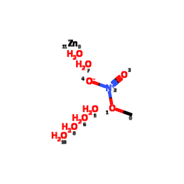 CO[N+](=O)[O-].O.O.O.O.O.O.[Zn]